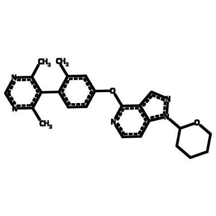 Cc1cc(Oc2nccc3c2cnn3C2CCCCO2)ccc1-c1c(C)ncnc1C